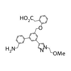 COCCn1cc(-c2cc(COc3ccccc3CC(=O)O)cc(-c3cccc(CN)c3)c2)cn1